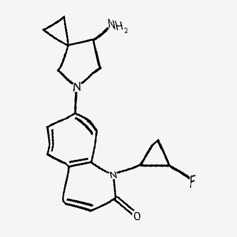 NC1CN(c2ccc3ccc(=O)n(C4CC4F)c3c2)CC12CC2